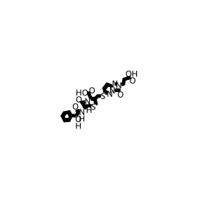 O=C(O)CCn1nc2ccc(SCC3=C(C(=O)O)N4C(=O)C(NC(=O)C(O)c5ccccc5)[C@@H]4SC3)nn2c1=O